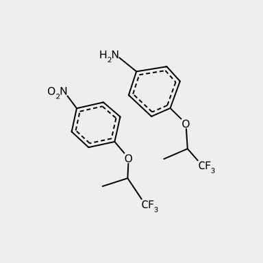 CC(Oc1ccc(N)cc1)C(F)(F)F.CC(Oc1ccc([N+](=O)[O-])cc1)C(F)(F)F